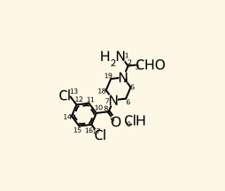 Cl.NC(C=O)N1CCN(C(=O)c2cc(Cl)ccc2Cl)CC1